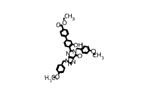 CCOC(=O)c1ccc(-c2ccc(-c3nc4c(nnn4Cc4ccc(OC)cc4)c(=O)n3Cc3ccc(OC)cc3)c(O)c2)cc1